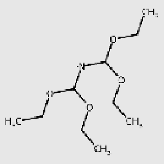 CCOC([N]C(OCC)OCC)OCC